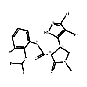 CN1C[C@H](c2[nH]nc(Cl)c2Br)[C@@H](C(=O)Nc2cccc(F)c2OC(F)F)C1=O